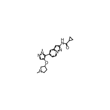 CN1CC[C@H](Oc2cnn(C)c2-c2ccn3nc(NC(=O)C4CC4)cc3c2)C1